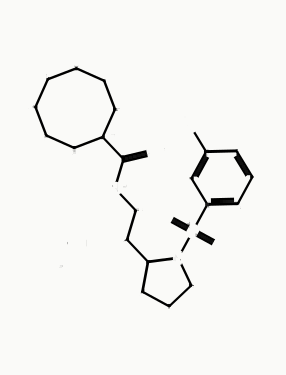 Cc1cccc(S(=O)(=O)N2CCCC2CCNC(=O)[C]2CCCCCCC2)c1.[CH2].[CH2]